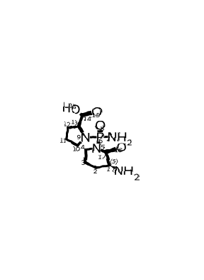 N[C@H]1CCCN(P(N)(=O)N2CCCC2C(=O)O)C1=O